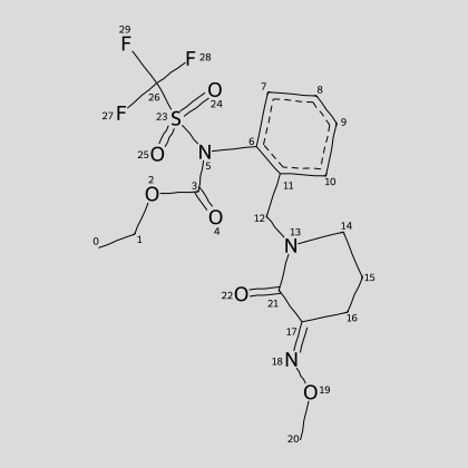 CCOC(=O)N(c1ccccc1CN1CCCC(=NOC)C1=O)S(=O)(=O)C(F)(F)F